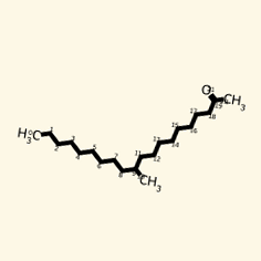 CCCCCCCCCC(C)CCCCCCCCC(C)=O